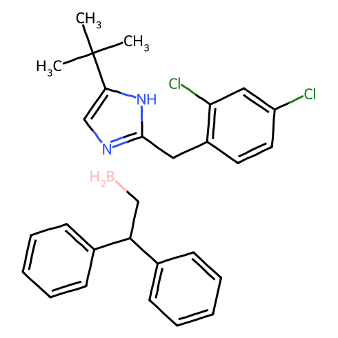 BCC(c1ccccc1)c1ccccc1.CC(C)(C)c1cnc(Cc2ccc(Cl)cc2Cl)[nH]1